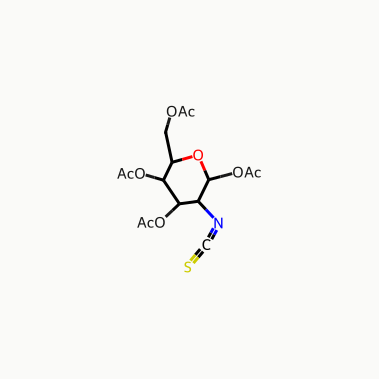 CC(=O)OCC1OC(OC(C)=O)C(N=C=S)C(OC(C)=O)C1OC(C)=O